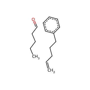 C=CCCCc1ccccc1.CCCCC=O